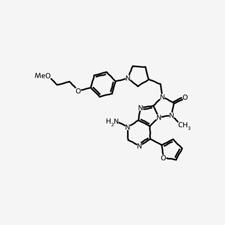 COCCOc1ccc(N2CCC(Cn3c(=O)n(C)n4c5c(nc34)N(N)CN=C5c3ccco3)C2)cc1